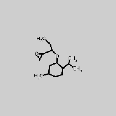 CCC(OC1CC(C)CCC1C(C)C)C1CO1